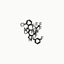 Fc1cccc(-n2ncc(-c3onc(-c4c(F)cccc4Cl)c3-c3nnc(C(F)(F)F)o3)c2C(F)(F)F)c1